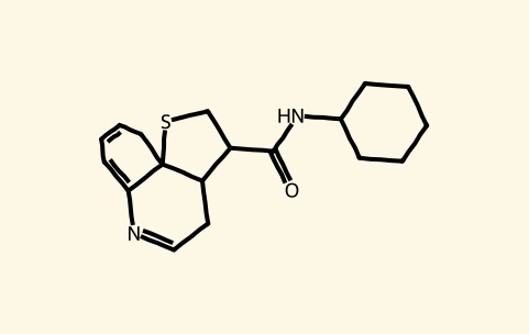 O=C(NC1CCCCC1)C1CSC23CC=CC=C2N=CCC13